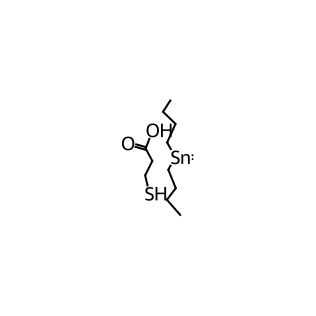 CCC[CH2][Sn][CH2]CCC.O=C(O)CCS